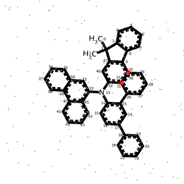 CC1(C)c2ccccc2-c2ccc(N(c3ccc(-c4ccccc4)cc3-c3ccccc3)c3cc4ccccc4c4ccccc34)cc21